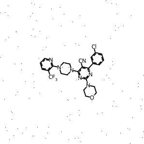 N#Cc1c(-c2cccc(Cl)c2)nc(N2CCOCC2)nc1N1CCN(c2ncccc2C(F)(F)F)CC1